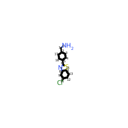 NCc1ccc(-c2nc3cc(Cl)ccc3s2)cc1